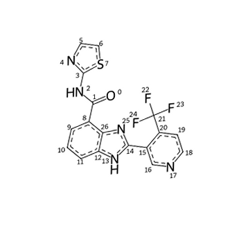 O=C(Nc1nccs1)c1cccc2[nH]c(-c3cnccc3C(F)(F)F)nc12